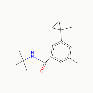 Cc1cc(C(=O)NC(C)(C)C)cc(C2(C)CC2)c1